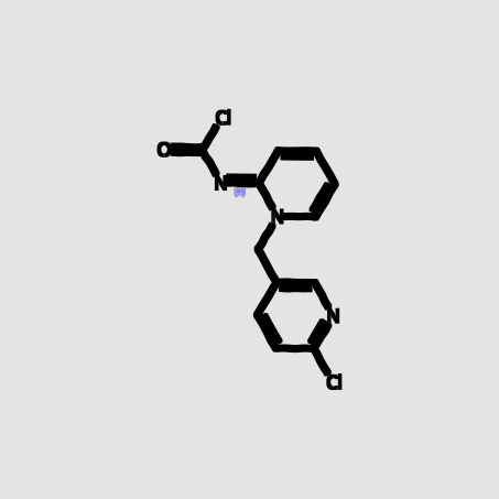 O=C(Cl)/N=c1\ccccn1Cc1ccc(Cl)nc1